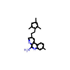 Cc1cc(C)c(CCc2cnc3c(N)nc4cc(C)ccc4c3c2)c(C)c1